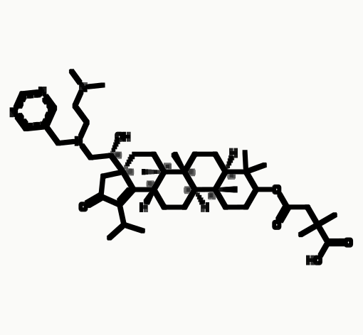 CC(C)C1=C2[C@H]3CC[C@@H]4[C@@]5(C)CCC(OC(=O)CC(C)(C)C(=O)O)C(C)(C)[C@@H]5CC[C@@]4(C)[C@]3(C)CC[C@@]2([C@@H](O)CN(CCN(C)C)Cc2cncnc2)CC1=O